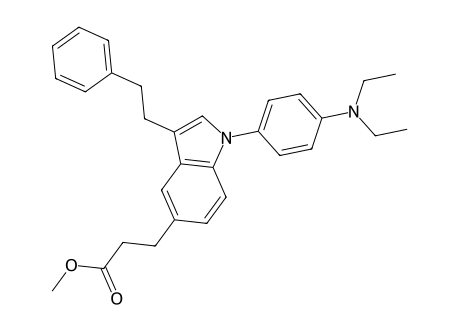 CCN(CC)c1ccc(-n2cc(CCc3ccccc3)c3cc(CCC(=O)OC)ccc32)cc1